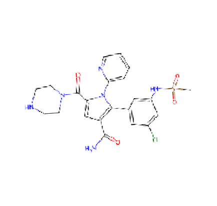 CS(=O)(=O)Nc1cc(Cl)cc(-c2c(C(N)=O)cc(C(=O)N3CCNCC3)n2-c2ccccn2)c1